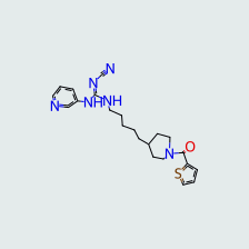 N#C/N=C(\NCCCCCC1CCN(C(=O)c2cccs2)CC1)Nc1cccnc1